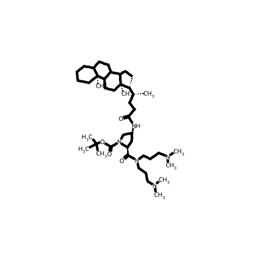 C[C@H](CCC(=O)N[C@H]1C[C@@H](C(=O)N(CCCN(C)C)CCCN(C)C)N(C(=O)OC(C)(C)C)C1)[C@H]1CCC2C3CCC4CCCC[C@]4(C)C3CC[C@@]21C